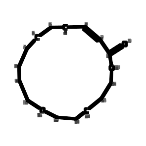 O=C1C=CCCCCCCCOCCCCCO1